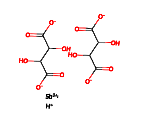 O=C([O-])C(O)C(O)C(=O)[O-].O=C([O-])C(O)C(O)C(=O)[O-].[H+].[Sb+3]